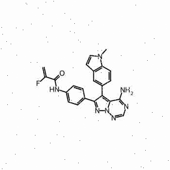 C=C(F)C(=O)Nc1ccc(-c2nn3ncnc(N)c3c2-c2ccc3c(ccn3C)c2)cc1